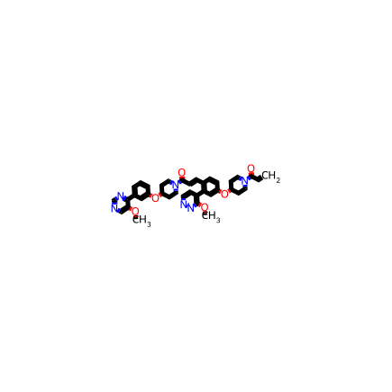 C=CC(=O)N1CCC(Oc2ccc(/C=C/C(=O)N3CCC(Oc4cccc(-c5ncncc5OC)c4)CC3)c(-c3ccnnc3OC)c2)CC1